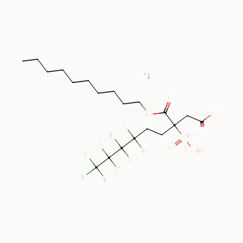 CCCCCCCCCCOC(=O)C(CCC(F)(F)C(F)(F)C(F)(F)C(F)(F)F)(CC(=O)[O-])S(=O)(=O)O.[Na+]